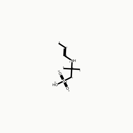 CC=CNC(C)(C)CS(=O)(=O)O